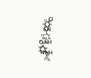 O=C(NC1CCC(c2nc3cc(Cl)ccc3s2)CC1)c1ccnc(NC2CC2)c1